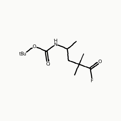 CC(CC(C)(C)C(=O)F)NC(=O)OC(C)(C)C